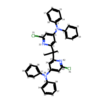 CC(C)(c1cc(N(c2ccccc2)c2ccccc2)cc(Cl)n1)c1cc(N(c2ccccc2)c2ccccc2)cc(Cl)n1